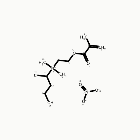 C=C(C)C(=O)OCC[N+](C)(C)C(Cl)CCO.O=[N+]([O-])[O-]